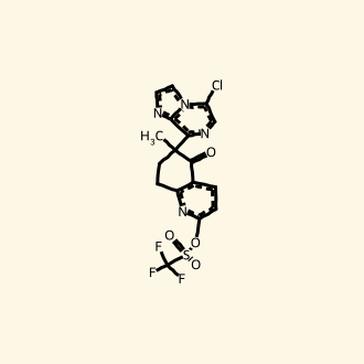 CC1(c2ncc(Cl)n3ccnc23)CCc2nc(OS(=O)(=O)C(F)(F)F)ccc2C1=O